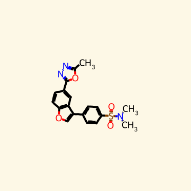 Cc1nnc(-c2ccc3occ(-c4ccc(S(=O)(=O)N(C)C)cc4)c3c2)o1